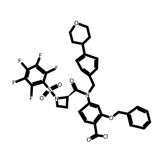 O=C(Cl)c1ccc(N(Cc2ccc(C3CCOCC3)cc2)C(=O)[C@H]2CCN2S(=O)(=O)c2c(F)c(F)c(F)c(F)c2F)cc1OCc1ccccc1